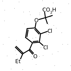 C=C(CC)C(=O)c1ccc(OC(C)(C)C(=O)O)c(Cl)c1Cl